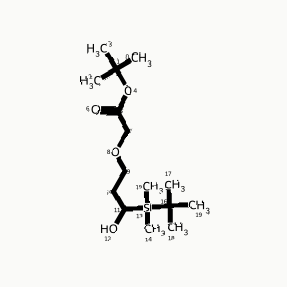 CC(C)(C)OC(=O)COCCC(O)[Si](C)(C)C(C)(C)C